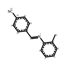 Cc1ccccc1/N=C/c1ccc(C#N)cc1